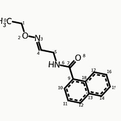 CCON=CCNC(=O)c1cccc2ccccc12